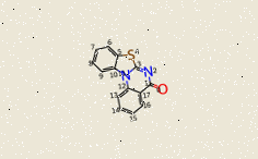 O=c1nc2sc3ccccc3n2c2ccccc12